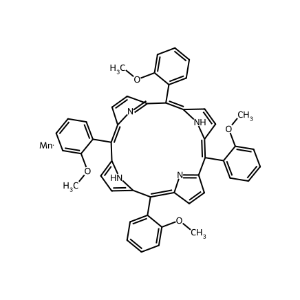 COc1ccccc1-c1c2nc(c(-c3ccccc3OC)c3ccc([nH]3)c(-c3ccccc3OC)c3nc(c(-c4ccccc4OC)c4ccc1[nH]4)C=C3)C=C2.[Mn]